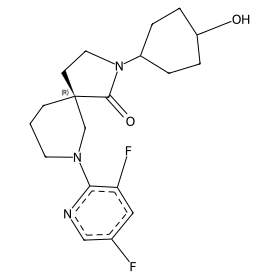 O=C1N(C2CCC(O)CC2)CC[C@@]12CCCN(c1ncc(F)cc1F)C2